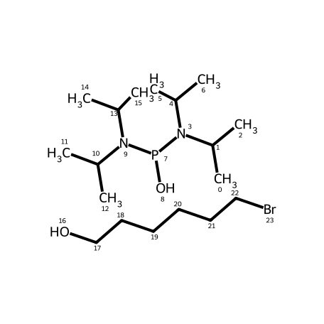 CC(C)N(C(C)C)P(O)N(C(C)C)C(C)C.OCCCCCCBr